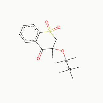 CC1(O[Si](C)(C)[Si](C)(C)C)CS(=O)(=O)c2ccccc2C1=O